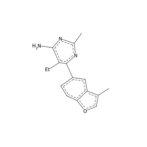 CCc1c(N)nc(C)nc1-c1ccc2occ(C)c2c1